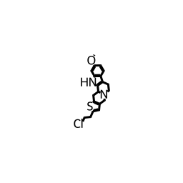 COc1ccc2c3c([nH]c2c1)C1Cc2sc(CCCl)cc2CN1CC3